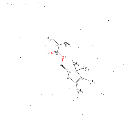 CC1=C(C)C(C)(C)[C@H](COC(=O)C(C)C)C1